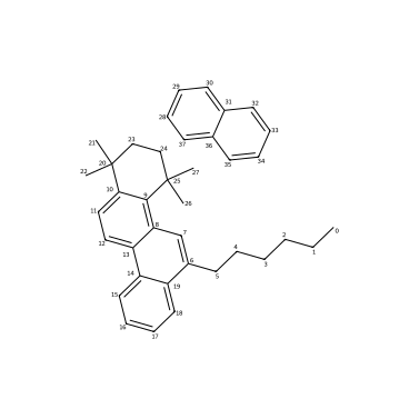 CCCCCCc1cc2c3c(ccc2c2ccccc12)C(C)(C)CCC3(C)C.c1ccc2ccccc2c1